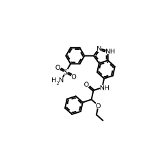 CCOC(C(=O)Nc1ccc2[nH]nc(-c3cccc(S(N)(=O)=O)c3)c2c1)c1ccccc1